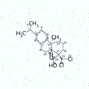 CC(C)c1ccc2c(c1)CC[C@@H]1[C@]2(C)CCC[C@@]1(C(=O)O)C(Cl)Cl